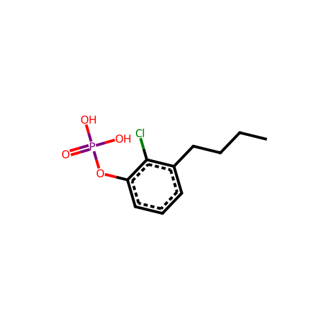 CCCCc1cccc(OP(=O)(O)O)c1Cl